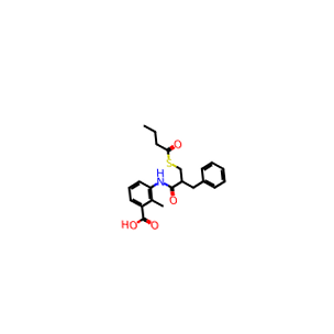 CCCC(=O)SCC(Cc1ccccc1)C(=O)Nc1cccc(C(=O)O)c1C